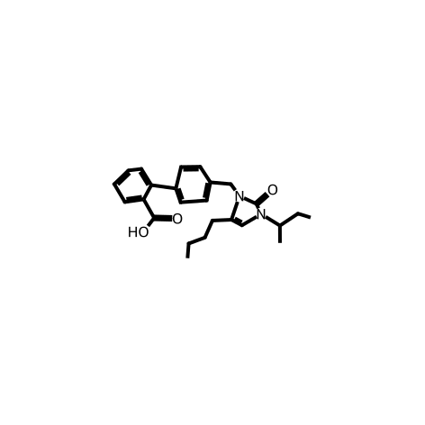 CCCCc1cn(C(C)CC)c(=O)n1Cc1ccc(-c2ccccc2C(=O)O)cc1